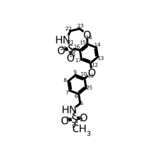 CS(=O)(=O)NCc1cccc(Oc2ccc3c(c2)S(=O)(=O)NCCO3)c1